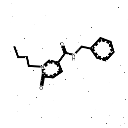 CCCCn1cc(C(=O)NCc2ccccc2)ccc1=O